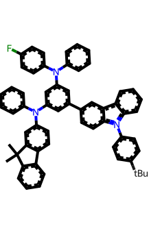 CC(C)(C)c1ccc(-n2c3ccccc3c3cc(-c4cc(N(c5ccccc5)c5ccc(F)cc5)cc(N(c5ccccc5)c5ccc6c(c5)C(C)(C)c5ccccc5-6)c4)ccc32)cc1